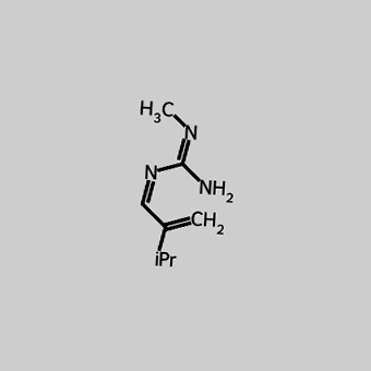 C=C(/C=N\C(N)=N/C)C(C)C